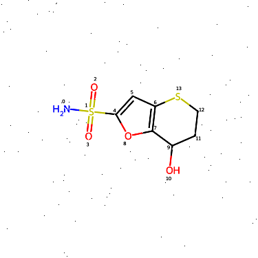 NS(=O)(=O)c1cc2c(o1)C(O)CCS2